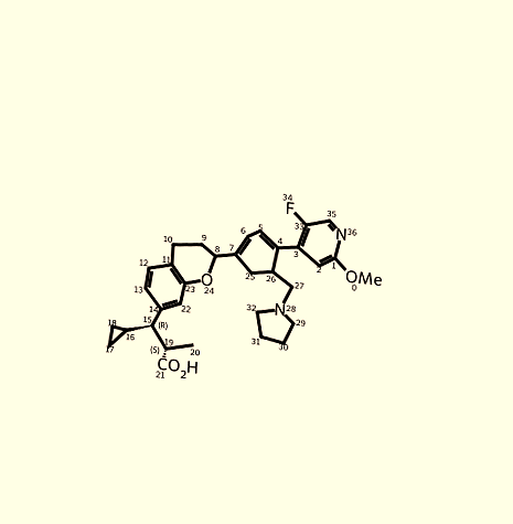 COc1cc(C2=CC=C(C3CCc4ccc([C@H](C5CC5)[C@H](C)C(=O)O)cc4O3)CC2CN2CCCC2)c(F)cn1